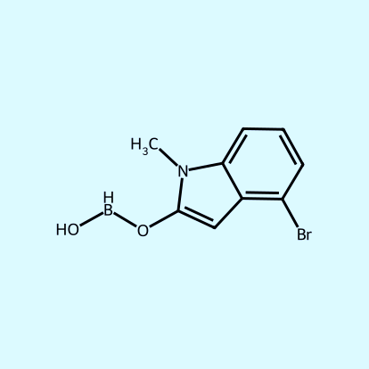 Cn1c(OBO)cc2c(Br)cccc21